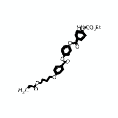 C=CC(=O)OCCCCOc1ccc(C(=O)Oc2ccc(OC(=O)c3ccc(NC(=O)OCC)cc3)cc2)cc1